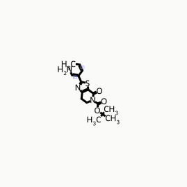 C/C=C\C(=C/N)c1nc2c(s1)C(=O)N(C(=O)OC(C)(C)C)CC2